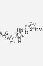 CCCNC(=O)OC1CCC(c2cc(NC(=O)Cc3cnc(OC)s3)n[nH]2)C1